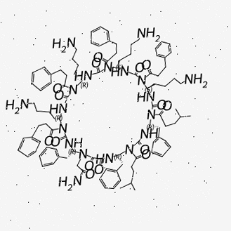 CC(C)CCC(=O)N1C(=O)N[C@@H](Cc2ccccc2)N(C(=O)CCC(C)C)C(=O)N[C@H](CCCCN)N(C(=O)CCc2ccccc2)C(=O)N[C@H](CCCCN)N(C(=O)CCc2ccccc2)C(=O)N[C@@H](CCCCN)N(C(=O)CCc2ccccc2)C(=O)N[C@@H](CCCCN)N(C(=O)CCc2ccccc2)C(=O)N[C@@H](Cc2ccccc2)N(CC(N)=O)C(=O)C(=O)N[C@H]1Cc1ccccc1